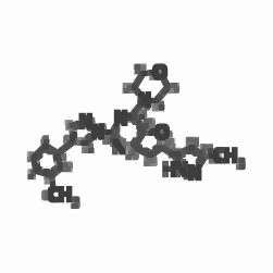 Cc1cccc(-c2cnn(-c3nc(N4CCOCC4)c4oc(-c5cc(C)n[nH]5)cc4n3)c2)c1